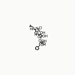 O=P(O)(O)[C@@H](CCc1ccccc1)OC[C@H]1O[C@@H](n2ncc3c(NCC4CC4)nc(Cl)nc32)[C@H](O)[C@@H]1O